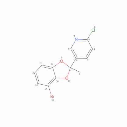 CC1(c2ccc(Cl)nc2)Oc2cccc(Br)c2O1